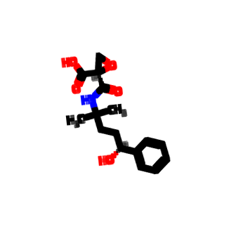 CC(C)(CC[C@@H](O)c1ccccc1)NC(=O)[C@]1(C(=O)O)CO1